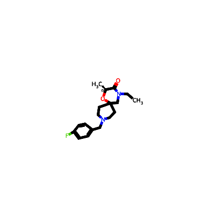 CCN1CC2(CCN(Cc3ccc(F)cc3)CC2)O[C@@H](C)C1=O